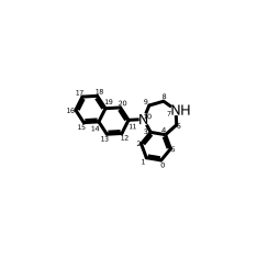 c1ccc2c(c1)CNCCN2c1ccc2ccccc2c1